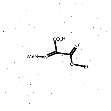 CCOC(=O)C(=NNC)C(=O)O